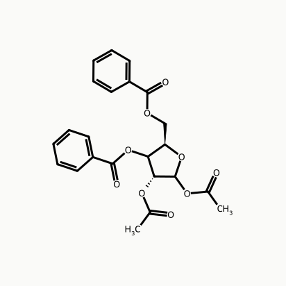 CC(=O)OC1O[C@H](COC(=O)c2ccccc2)C(OC(=O)c2ccccc2)[C@H]1OC(C)=O